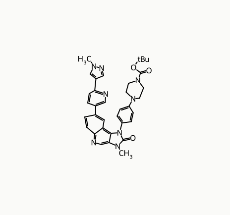 Cn1cc(-c2ccc(-c3ccc4ncc5c(c4c3)n(-c3ccc(N4CCN(C(=O)OC(C)(C)C)CC4)cc3)c(=O)n5C)cn2)cn1